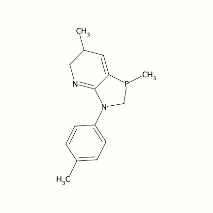 Cc1ccc(N2CP(C)C3=CC(C)CN=C32)cc1